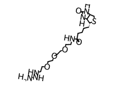 NNNCCOCCOCCOCCNC(=O)CCCC[C@H]1SCC2NC(=O)NC21